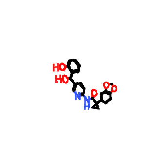 O=C(Nc1ccc(C(O)c2ccccc2O)cn1)C1(c2ccc3c(c2)OCO3)CC1